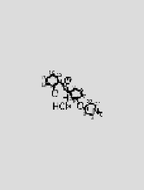 CN1CCC(Oc2cccc(NC(=O)c3ccccc3Cl)c2)CC1.Cl